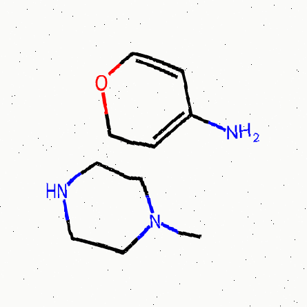 CN1CCNCC1.NC1=CCOC=C1